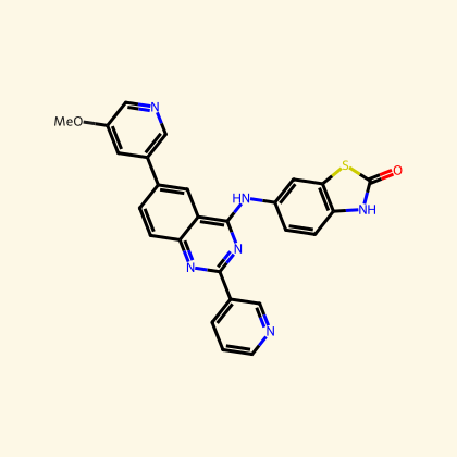 COc1cncc(-c2ccc3nc(-c4cccnc4)nc(Nc4ccc5[nH]c(=O)sc5c4)c3c2)c1